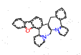 c1ccc2c(c1)CC1=C(C[n+]3ccccc3-c3c1ccc1c3oc3ccccc31)[n+]1ccccc1-2